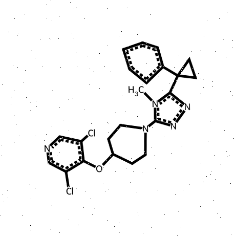 Cn1c(N2CCC(Oc3c(Cl)cncc3Cl)CC2)nnc1C1(c2ccccc2)CC1